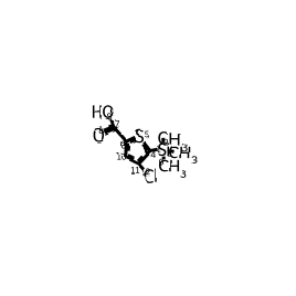 C[Si](C)(C)c1sc(C(=O)O)cc1Cl